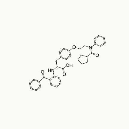 O=C(c1ccccc1)c1ccccc1N[C@@H](Cc1ccc(OCCN(C(=O)C2CCCC2)c2ccccc2)cc1)C(=O)O